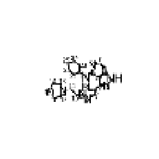 c1cc2[nH]nc(-c3cnn(CCN4CCOCC4)c3)c2c(NC2CCCCC2)n1